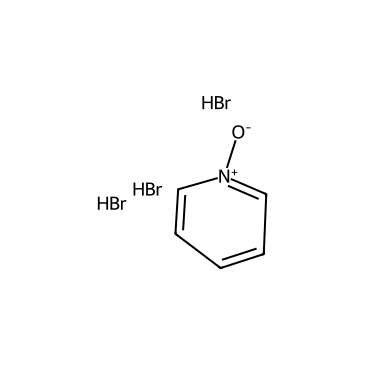 Br.Br.Br.[O-][n+]1ccccc1